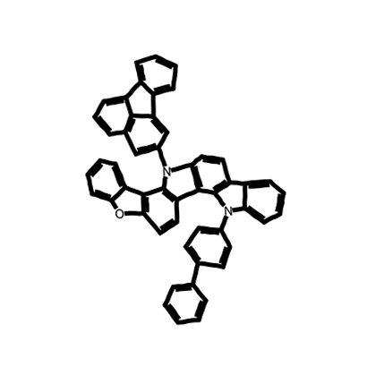 c1ccc(-c2ccc(-n3c4ccccc4c4ccc5c(c6ccc7oc8ccccc8c7c6n5-c5cc6c7c(cccc7c5)-c5ccccc5-6)c43)cc2)cc1